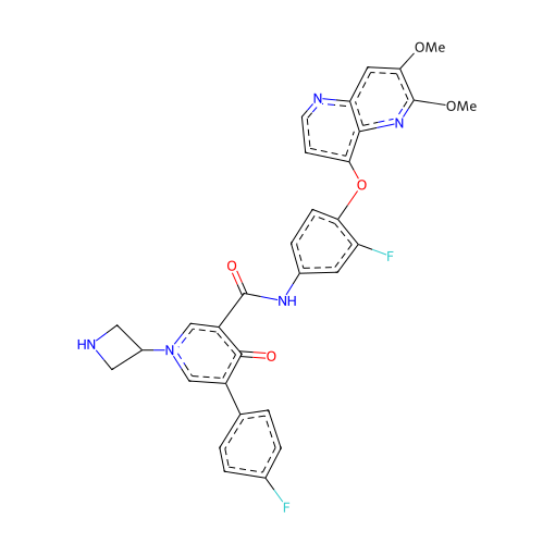 COc1cc2nccc(Oc3ccc(NC(=O)c4cn(C5CNC5)cc(-c5ccc(F)cc5)c4=O)cc3F)c2nc1OC